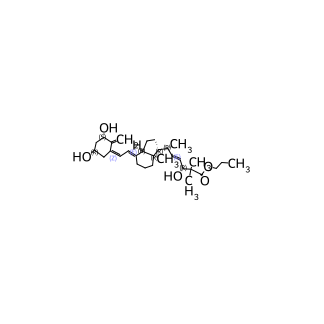 C=C1/C(=C\C=C2/CCC[C@]3(C)[C@@H]([C@H](C)/C=C/[C@@H](O)C(C)(C)C(=O)OCCC)CC[C@@H]23)C[C@@H](O)C[C@@H]1O